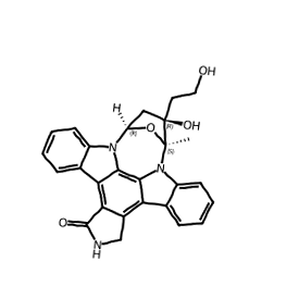 C[C@]12O[C@H](C[C@]1(O)CCO)n1c3ccccc3c3c4c(c5c6ccccc6n2c5c31)CNC4=O